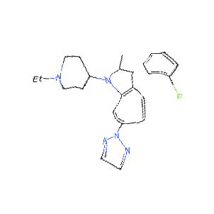 CCN1CCC(N2c3cc(-n4nccn4)ccc3CC2C)CC1.Fc1ccccc1